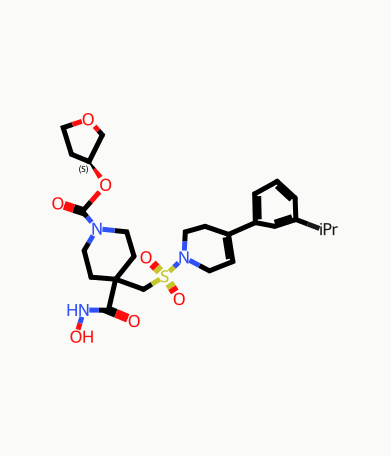 CC(C)c1cccc(C2=CCN(S(=O)(=O)CC3(C(=O)NO)CCN(C(=O)O[C@H]4CCOC4)CC3)CC2)c1